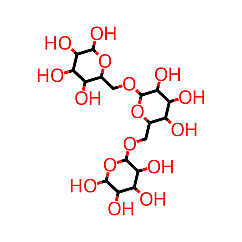 OC1OC(COC2OC(COC3OC(O)C(O)C(O)C3O)C(O)C(O)C2O)C(O)C(O)C1O